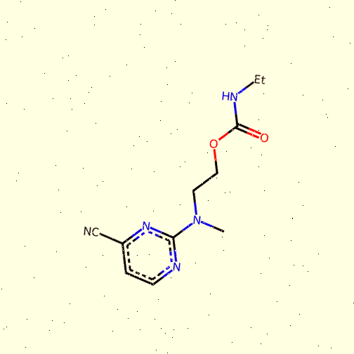 CCNC(=O)OCCN(C)c1nccc(C#N)n1